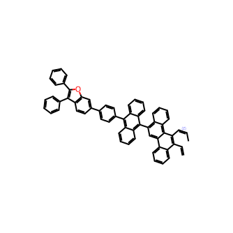 C=Cc1c(/C=C\C)c2c3ccccc3c(-c3c4ccccc4c(-c4ccc(-c5ccc6c(-c7ccccc7)c(-c7ccccc7)oc6c5)cc4)c4ccccc34)cc2c2ccccc12